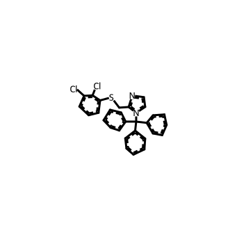 Clc1cccc(SCc2nccn2C(c2ccccc2)(c2ccccc2)c2ccccc2)c1Cl